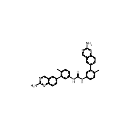 Cc1ccc(NC(=O)Nc2ccc(C)c(-c3ccc4nc(N)ncc4c3)c2)cc1-c1ccc2nc(N)ncc2c1